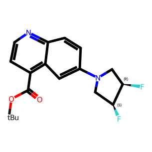 CC(C)(C)OC(=O)c1ccnc2ccc(N3C[C@@H](F)[C@@H](F)C3)cc12